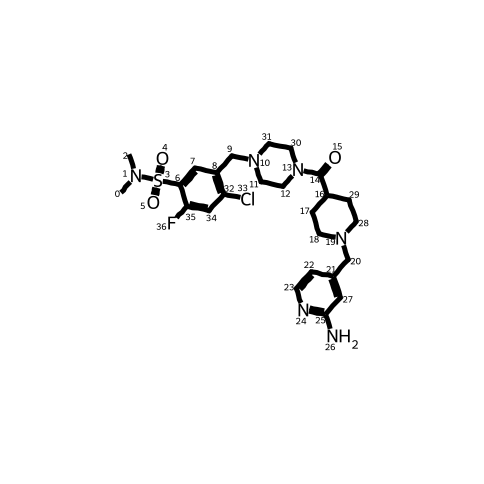 CN(C)S(=O)(=O)c1cc(CN2CCN(C(=O)C3CCN(Cc4ccnc(N)c4)CC3)CC2)c(Cl)cc1F